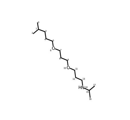 CC(C)CCCOCCCOCCCNC(C)C